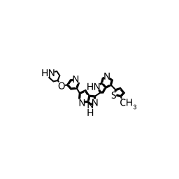 Cc1ccc(-c2cncc3[nH]c(-c4n[nH]c5ncc(-c6cncc(OC7CCNCC7)c6)cc45)cc23)s1